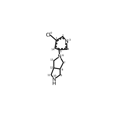 Clc1cncc(N2CC3CNCC3C2)c1